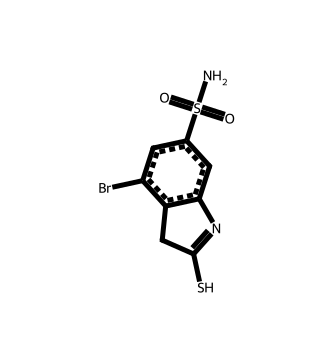 NS(=O)(=O)c1cc(Br)c2c(c1)N=C(S)C2